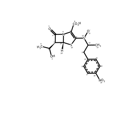 CC(O)[C@H]1C(=O)N2C(C(=O)O)=C([S+]([O-])C(C)Cc3ccc([N+](=O)[O-])cc3)S[C@H]12